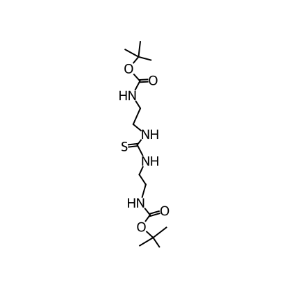 CC(C)(C)OC(=O)NCCNC(=S)NCCNC(=O)OC(C)(C)C